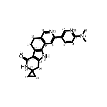 CN(C)c1ccc(-c2cc3c(cn2)CCc2c-3[nH]c3c2C(=O)NC2(CC2)C3)cn1